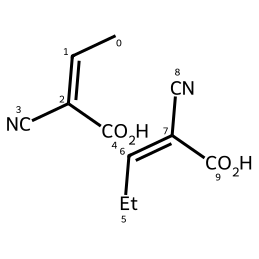 CC=C(C#N)C(=O)O.CCC=C(C#N)C(=O)O